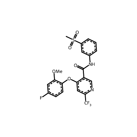 COc1cc(F)ccc1Oc1cc(C(F)(F)F)ncc1C(=O)Nc1cccc(S(C)(=O)=O)c1